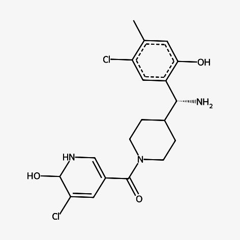 Cc1cc(O)c([C@H](N)C2CCN(C(=O)C3=CNC(O)C(Cl)=C3)CC2)cc1Cl